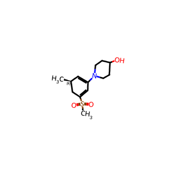 C[C@H]1C=C(N2CCC(O)CC2)C=C(S(C)(=O)=O)C1